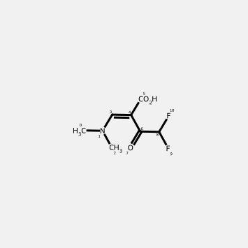 CN(C)/C=C(/C(=O)O)C(=O)C(F)F